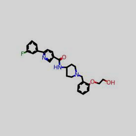 O=C(NC1CCN(Cc2ccccc2OCCO)CC1)c1ccc(-c2cccc(F)c2)nc1